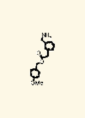 COc1ccc(COC(=O)Cc2cccc(CN)c2)cc1